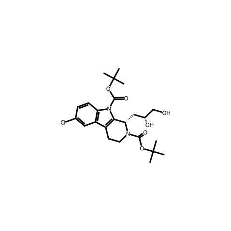 CC(C)(C)OC(=O)N1CCc2c(n(C(=O)OC(C)(C)C)c3ccc(Cl)cc23)[C@@H]1C[C@@H](O)CO